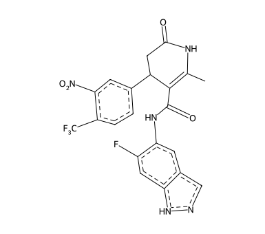 CC1=C(C(=O)Nc2cc3cn[nH]c3cc2F)C(c2ccc(C(F)(F)F)c([N+](=O)[O-])c2)CC(=O)N1